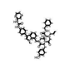 C=CCN1CC(=O)N2[C@@H](Cc3ccc(O)cc3)C(=O)N(Cc3cccc4c(-c5ccc(NC(=O)Nc6cnccn6)cc5)cn(C)c34)C[C@@H]2N1C(=O)NCc1ccccc1